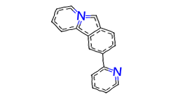 c1ccc(-c2ccc3cn4ccccc4c3c2)nc1